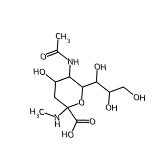 CNC1(C(=O)O)CC(O)C(NC(C)=O)C(C(O)C(O)CO)O1